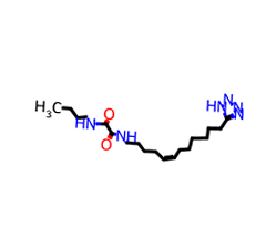 CCCCNC(=O)C(=O)NCCCC/C=C\CCCCCCc1nnn[nH]1